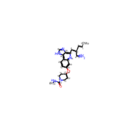 COCCC(CN)Cc1nc2cc(OC3CCN(C(=O)NC(C)C)CC3)ccc2c2[nH]cnc12